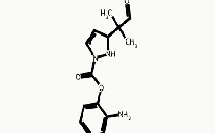 CC(C)(C=O)C1C=CN(C(=O)Oc2ccccc2N)N1